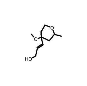 COC1(C=CCO)CCOC(C)C1